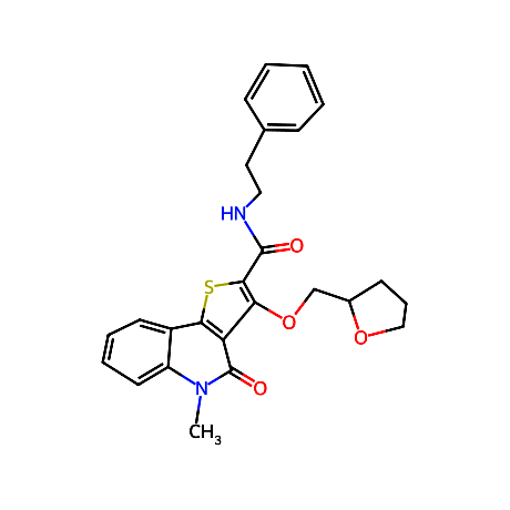 Cn1c(=O)c2c(OCC3CCCO3)c(C(=O)NCCc3ccccc3)sc2c2ccccc21